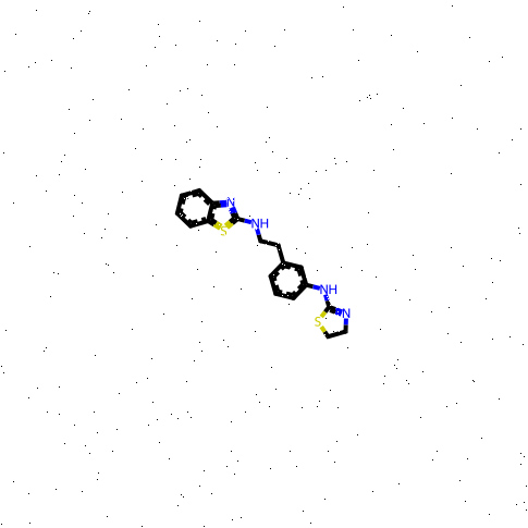 c1cc(CCNc2nc3ccccc3s2)cc(NC2=NCCS2)c1